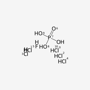 Cl.Cl.Cl.Cl.Cl.F.O=P(O)(O)O